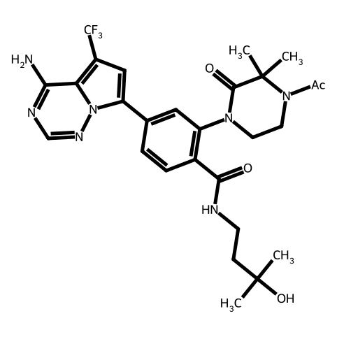 CC(=O)N1CCN(c2cc(-c3cc(C(F)(F)F)c4c(N)ncnn34)ccc2C(=O)NCCC(C)(C)O)C(=O)C1(C)C